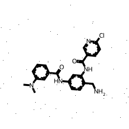 CN(C)c1cccc(C(=O)Nc2ccc(CN)c(NC(=O)c3ccc(Cl)nc3)c2)c1